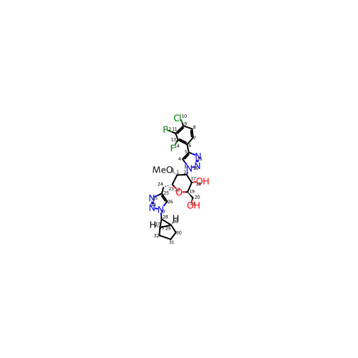 CO[C@@H]1[C@@H](n2cc(-c3ccc(Cl)c(F)c3F)nn2)[C@@H](O)[C@@H](CO)O[C@@H]1Cc1cn(C2[C@H]3CCC[C@@H]23)nn1